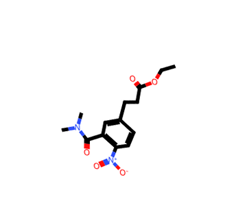 CCOC(=O)CCc1ccc([N+](=O)[O-])c(C(=O)N(C)C)c1